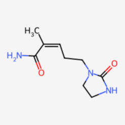 CC(=CCCN1CCNC1=O)C(N)=O